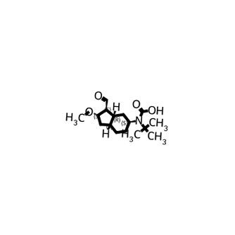 CO[C@H]1C[C@H]2CC[C@H](N(C(=O)O)C(C)(C)C)C[C@H]2[C@@H]1C=O